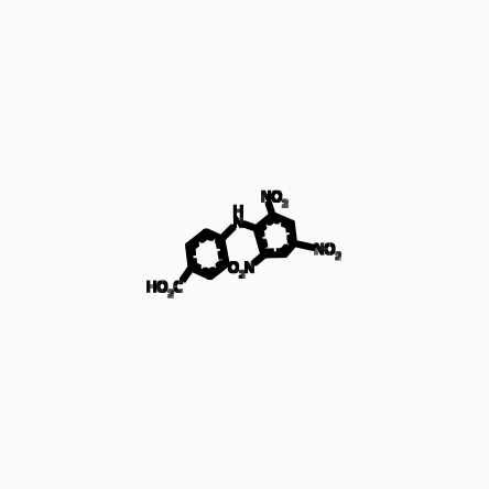 O=C(O)c1ccc(Nc2c([N+](=O)[O-])cc([N+](=O)[O-])cc2[N+](=O)[O-])cc1